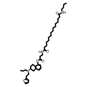 CCCCNC(=O)CCCCCCCCCCCCCCC(=O)NCCC(=O)Oc1cccc2c1CC[C@H](N(CCC)CCc1cccs1)C2